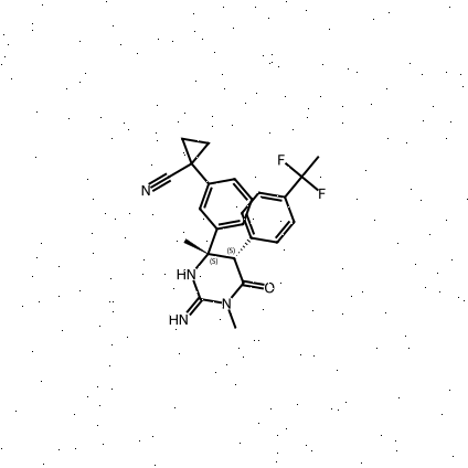 CN1C(=N)N[C@](C)(c2cccc(C3(C#N)CC3)c2)[C@H](c2ccc(C(C)(F)F)cc2)C1=O